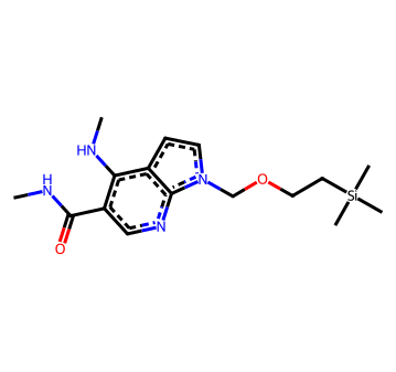 CNC(=O)c1cnc2c(ccn2COCC[Si](C)(C)C)c1NC